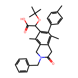 Cc1ccc(-c2c(C)c3c(c(C)c2C(OC(C)(C)C)C(=O)O)CN(Cc2ccccc2)C(=O)C3)cc1